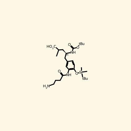 CC(C[C@H](Cc1ccc(O[Si](C)(C)C(C)(C)C)c(NC(=O)CCCN)c1)NC(=O)OC(C)(C)C)C(=O)O